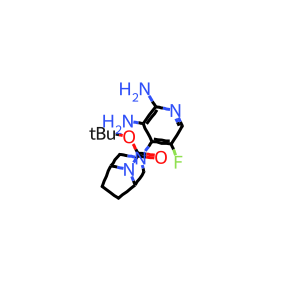 CC(C)(C)OC(=O)N1C2CCC1CN(c1c(F)cnc(N)c1N)C2